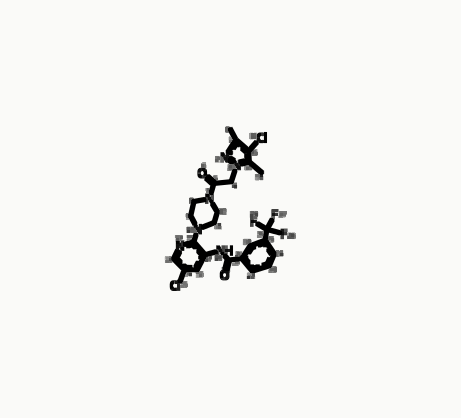 Cc1nn(CC(=O)N2CCN(c3ncc(Cl)cc3NC(=O)c3cccc(C(F)(F)F)c3)CC2)c(C)c1Cl